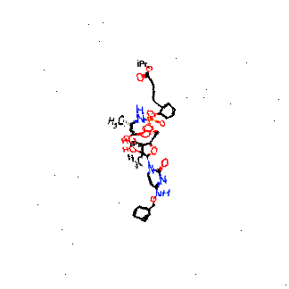 CC(C)OC(=O)CCc1ccccc1OP(=O)(N[C@@H](C)C(=O)OC(C)C)OC[C@H]1O[C@@H](n2ccc(NOCc3ccccc3)nc2=O)C(C)(O)C1O